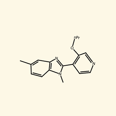 CCCOc1cnccc1-c1nc2cc(C)ccc2n1C